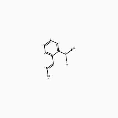 ON=Cc1ccccc1C(F)F